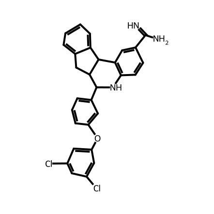 N=C(N)c1ccc2c(c1)C1c3ccccc3CC1C(c1cccc(Oc3cc(Cl)cc(Cl)c3)c1)N2